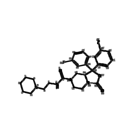 O=C(NCCN1CCCCC1)N1CCN2C(=O)OC(c3cccc(F)c3)(c3cccc(F)c3)C2C1